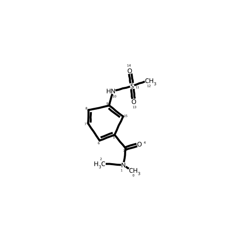 CN(C)C(=O)c1cccc(NS(C)(=O)=O)c1